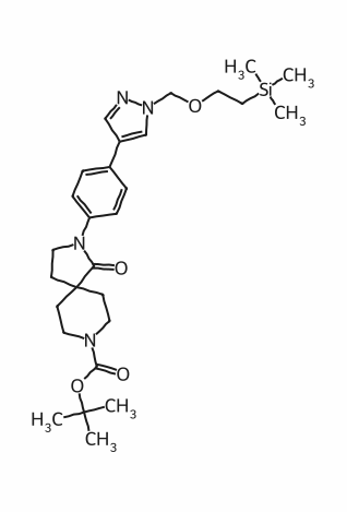 CC(C)(C)OC(=O)N1CCC2(CC1)CCN(c1ccc(-c3cnn(COCC[Si](C)(C)C)c3)cc1)C2=O